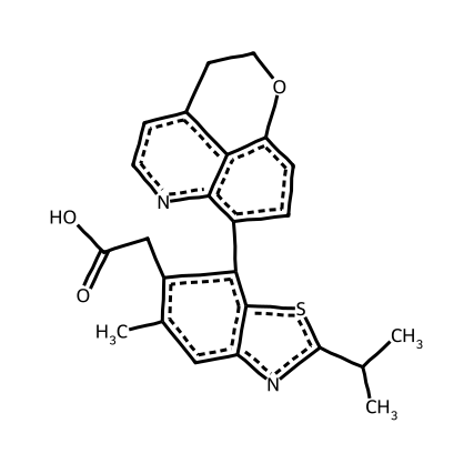 Cc1cc2nc(C(C)C)sc2c(-c2ccc3c4c(ccnc24)CCO3)c1CC(=O)O